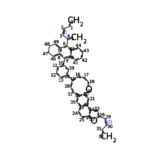 C=C/C=C\C(=C)c1c2c(c(-c3cccc(-c4cccoc5cc6c(ccc7oc(/C=C\C=C)cc76)cc5cc4)c3)c3ccccc13)=CCCC=2